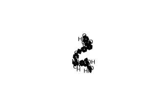 CCN1c2ccc(Nc3nc(N4CCC(O[C@H]5C[C@H](N6CCC(c7cccc8c7C(=O)N(C7CCC(=O)NC7=O)C8=O)CC6)C5)CC4)ncc3Cl)cc2C=C(OCC(=O)NC)C1O